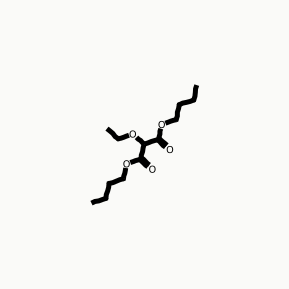 CCCCOC(=O)C(OCC)C(=O)OCCCC